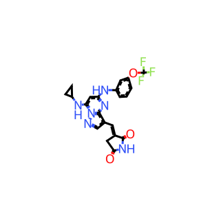 O=C1C/C(=C\c2cnn3c(NC4CC4)cc(Nc4cccc(OC(F)(F)F)c4)nc23)C(=O)N1